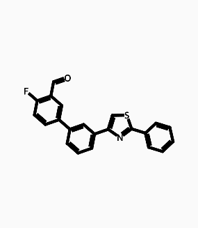 O=Cc1cc(-c2cccc(-c3csc(-c4ccccc4)n3)c2)ccc1F